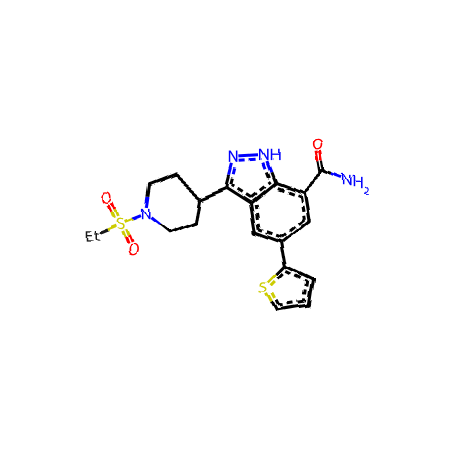 CCS(=O)(=O)N1CCC(c2n[nH]c3c(C(N)=O)cc(-c4cccs4)cc23)CC1